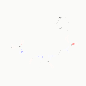 C[C@H](NC(=O)CNC(=O)OC(C)(C)C)C(=O)NCCN(C)C(=O)OCc1ccccc1